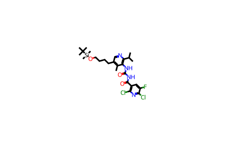 Cc1c(CCCCO[Si](C)(C)C(C)(C)C)cnc(C(C)C)c1NC(=O)NC(=O)c1cc(F)c(Cl)nc1Cl